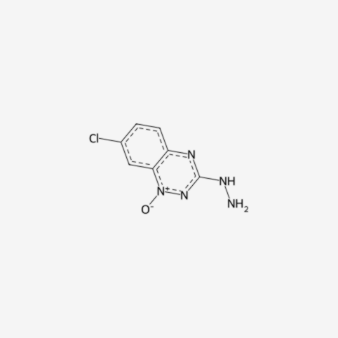 NNc1nc2ccc(Cl)cc2[n+]([O-])n1